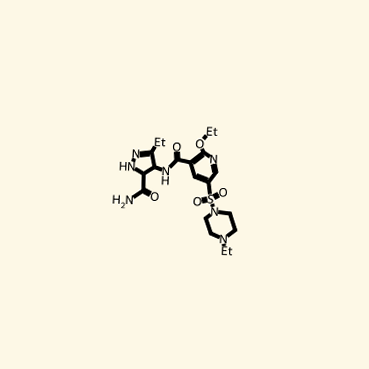 CCOc1ncc(S(=O)(=O)N2CCN(CC)CC2)cc1C(=O)NC1C(CC)=NNC1C(N)=O